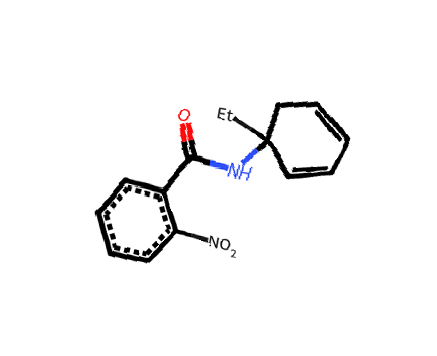 CCC1(NC(=O)c2ccccc2[N+](=O)[O-])C=CC=CC1